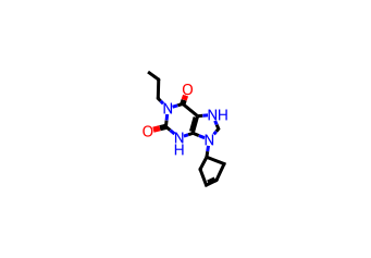 CCCn1c(=O)[nH]c2c(c1=O)NCN2C1CC=CC1